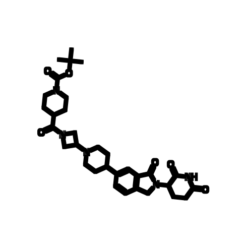 CC(C)(C)OC(=O)N1CCC(C(=O)N2CC(N3CCC(c4ccc5c(c4)C(=O)N(C4CCC(=O)NC4=O)C5)CC3)C2)CC1